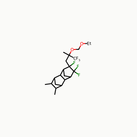 CCOCOC(C)(CC1(F)C2CC(C3C4CC(C(C)C4C)C32)C1(F)F)C(F)(F)F